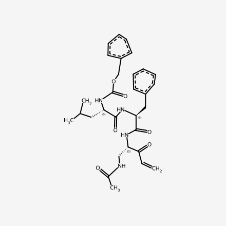 C=CC(=O)[C@H](CNC(C)=O)NC(=O)[C@H](Cc1ccccc1)NC(=O)[C@H](CC(C)C)NC(=O)OCc1ccccc1